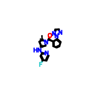 C[C@@H]1C[C@@H](Nc2cc(F)ccn2)CN1C(=O)c1ccccc1-n1nccn1